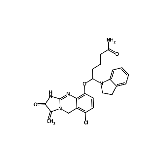 C=c1c(=O)[nH]c2n1Cc1c(Cl)ccc(OC(CCCC(N)=O)N3CCc4ccccc43)c1N=2